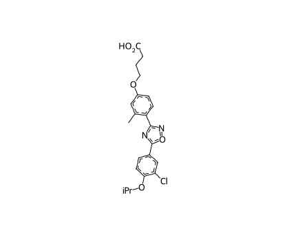 Cc1cc(OCCCC(=O)O)ccc1-c1noc(-c2ccc(OC(C)C)c(Cl)c2)n1